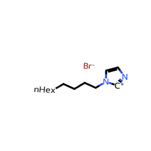 CCCCCCCCCCN1[C+]=NC=C1.[Br-]